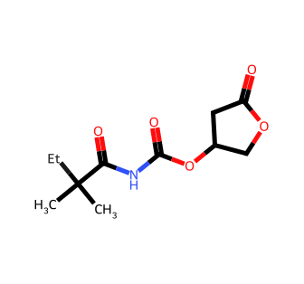 CCC(C)(C)C(=O)NC(=O)OC1COC(=O)C1